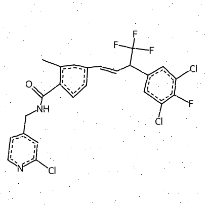 Cc1cc(/C=C/C(c2cc(Cl)c(F)c(Cl)c2)C(F)(F)F)ccc1C(=O)NCc1ccnc(Cl)c1